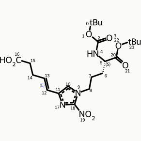 CC(C)(C)OC(=O)N[C@@H](CCCn1cc(/C=C/CCC(=O)O)nc1[N+](=O)[O-])C(=O)OC(C)(C)C